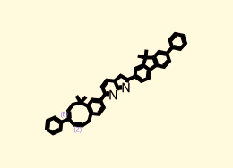 CC1(C)C/C=C(c2ccccc2)\C=C/Cc2ccc(C3=NC4=NC(c5ccc6c(c5)C(C)(C)c5cc(-c7ccccc7)ccc5-6)CC4C=C3)cc21